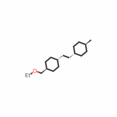 CCOC[C@H]1CC[C@H](CC[C@H]2CC[C@H](C)CC2)CC1